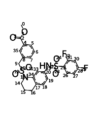 COC(=O)c1cccc(CS(=O)(=O)N2CCCc3ccc(NS(=O)(=O)c4ccc(F)cc4F)cc32)c1